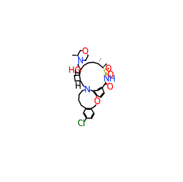 C[C@@H]1[C@@H](C)CCC[C@](O)(CN2CCOC[C@@H]2C)[C@@H]2CC[C@H]2CN2CCCCc3cc(Cl)ccc3COc3ccc(cc32)C(=O)NS1(=O)=O